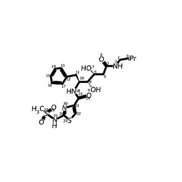 CC(C)CNC(=O)C[C@@H](O)[C@H](O)[C@H](Cc1ccccc1)NC(=O)c1csc(NS(C)(=O)=O)n1